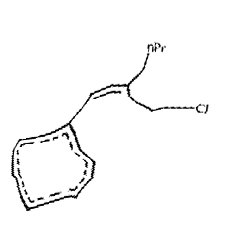 CCCC(=Cc1ccccc1)CCl